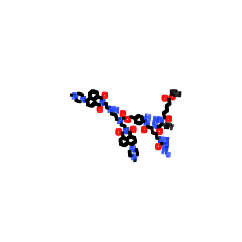 CC(C)[C@H](NC(=O)CCCCC(=O)OC(C)(C)C)C(=O)N[C@@H](CCCNC(N)=O)C(=O)Nc1ccc(COC(=O)N(CCCNCCN2C(=O)c3cccc4c(N5CCN(C)CC5)ccc(c34)C2=O)CCN2C(=O)c3cccc4c(N5CCN(C)CC5)ccc(c34)C2=O)cc1